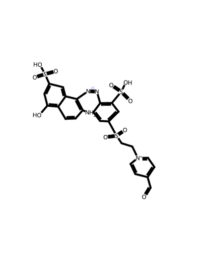 Nc1ccc2c(O)cc(S(=O)(=O)O)cc2c1/N=N\c1ccc(S(=O)(=O)CC[n+]2ccc(C=O)cc2)cc1S(=O)(=O)O